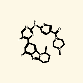 CC1CCCc2nc3c(F)cc(-c4nc(Nc5ccc(C(=O)N6CCN(C)CC6)cn5)ncc4F)cc3n21